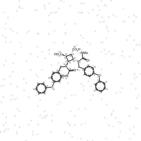 CNC(=O)N(Cc1ccc(Oc2ccccc2)cc1)[C@H]1[C@@H](C(=O)O)[C@H](C(=O)O)[C@@H]1N(Cc1ccc(Oc2ccccc2)cc1)C(=O)NC